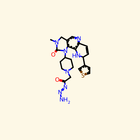 CN1Cc2cnc3c(c2N(C2CCN(CC(=O)N=NN)CC2)C1=O)NC(c1ccsc1)C=C3